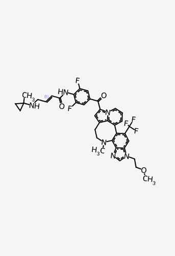 COCCn1cnc2c3c(c(C(F)(F)F)cc21)-c1cccn2c(C(=O)c4cc(F)c(NC(=O)/C=C/CNC5(C)CC5)c(F)c4)cc(c12)CCN3C